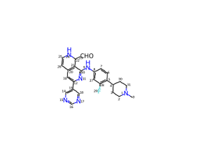 CN1CCC(c2ccc(Nc3nc(-c4cncnc4)cc4c3C(C=O)NC=C4)cc2F)CC1